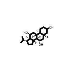 CC(C)[C@H]1CC[C@H]2[C@@H]3[C@H](O)C[C@H]4CC(O)CC[C@]4(C)[C@H]3C[C@H](O)[C@]12C